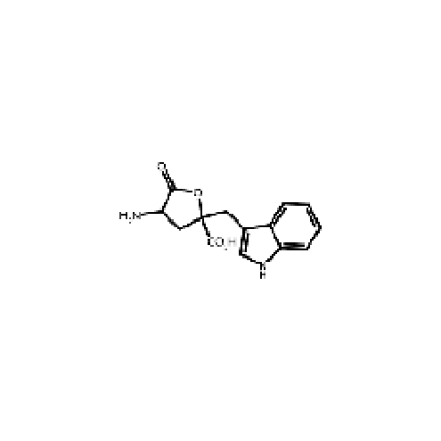 NC1CC(Cc2c[nH]c3ccccc23)(C(=O)O)OC1=O